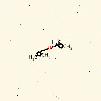 Cc1ccc(CCCCOCCCCc2ccc(C)cc2C)c(C)c1